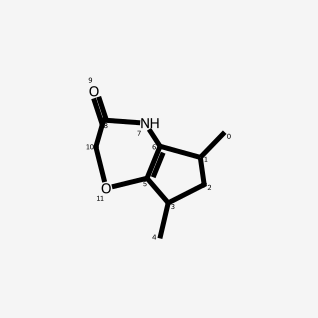 CC1CC(C)C2=C1NC(=O)CO2